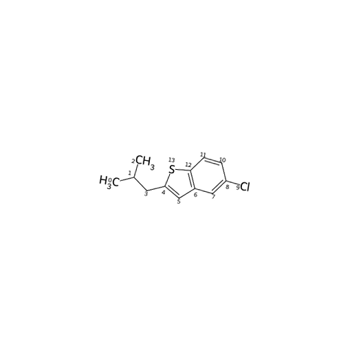 CC(C)Cc1cc2cc(Cl)ccc2s1